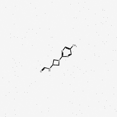 Cc1cnc(N2CC(NC=O)C2)nc1